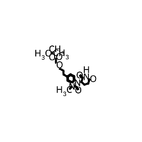 Cn1c(=O)n(C2CCC(=O)NC2=O)c2ccc(CCCOCC(=O)OC(C)(C)C)cc21